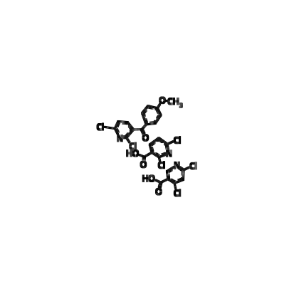 COc1ccc(C(=O)c2ccc(Cl)nc2Cl)cc1.O=C(O)c1ccc(Cl)nc1Cl.O=C(O)c1cnc(Cl)cc1Cl